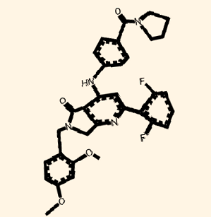 COc1ccc(CN2Cc3nc(-c4c(F)cccc4F)cc(Nc4ccc(C(=O)N5CCCC5)cc4)c3C2=O)c(OC)c1